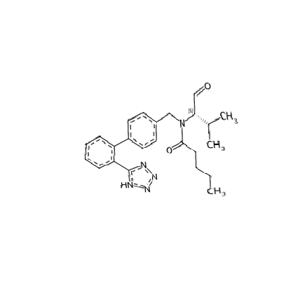 CCCCC(=O)N(Cc1ccc(-c2ccccc2-c2nnn[nH]2)cc1)[C@H](C=O)C(C)C